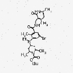 CCN(c1cc(Br)cc(C(=O)NCc2c(C)cc(C)[nH]c2=O)c1C)C1CC(C)N(C(=O)OC(C)(C)C)C(C)C1